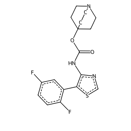 O=C(Nc1ncsc1-c1cc(F)ccc1F)OC12CCN(CC1)CC2